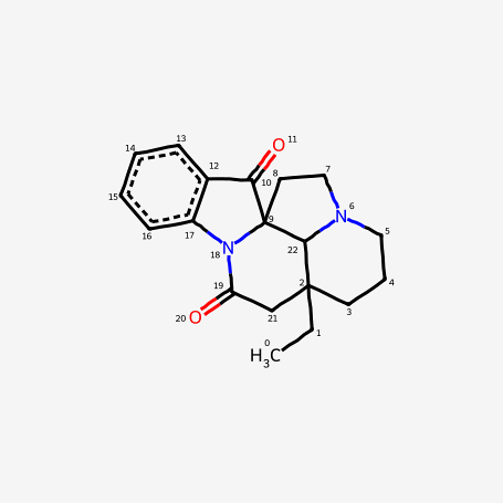 CCC12CCCN3CCC4(C(=O)c5ccccc5N4C(=O)C1)C32